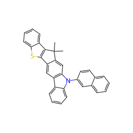 CC1(C)c2cc3c(cc2-c2sc4ccccc4c21)c1ccccc1n3-c1ccc2ccccc2c1